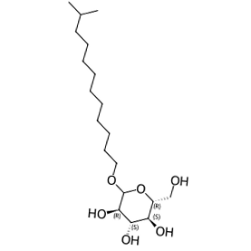 CC(C)CCCCCCCCCCOC1O[C@H](CO)[C@@H](O)[C@H](O)[C@H]1O